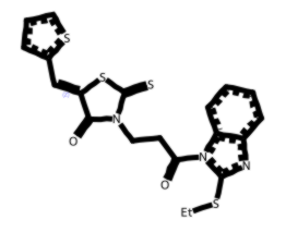 CCSc1nc2ccccc2n1C(=O)CCN1C(=O)/C(=C/c2cccs2)SC1=S